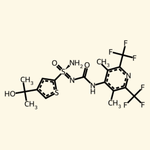 Cc1c(C(F)(F)F)nc(C(F)(F)F)c(C)c1NC(=O)N=[S@@](N)(=O)c1cc(C(C)(C)O)cs1